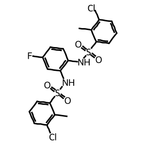 Cc1c(Cl)cccc1S(=O)(=O)Nc1ccc(F)cc1NS(=O)(=O)c1cccc(Cl)c1C